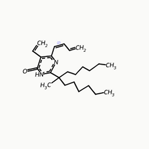 C=C/C=C\c1nc(C(C)(CCCCCC)CCCCCC)[nH]c(=O)c1C=C